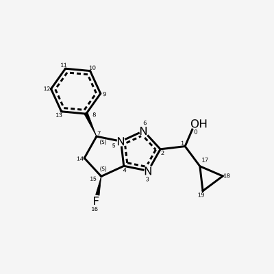 OC(c1nc2n(n1)[C@H](c1ccccc1)C[C@@H]2F)C1CC1